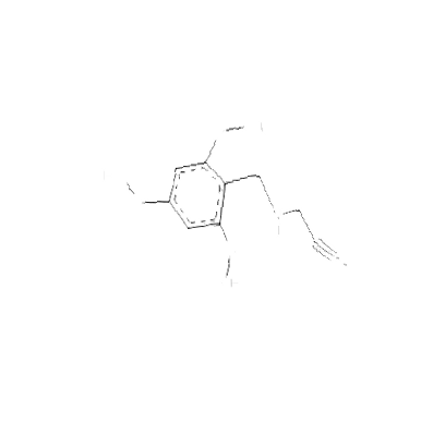 COc1cc(OC)c(CNCC#N)c(OC)c1